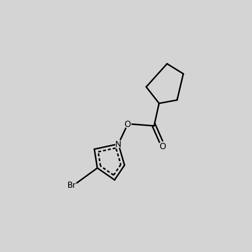 O=C(On1ccc(Br)c1)C1CCCC1